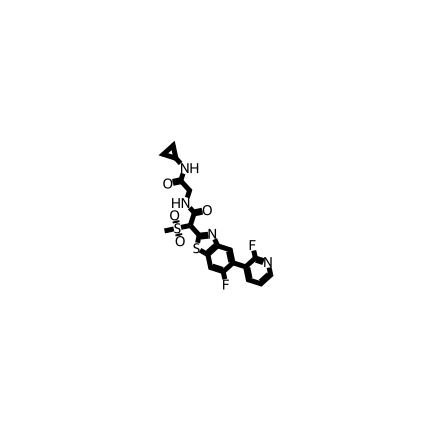 CS(=O)(=O)C(C(=O)NCC(=O)NC1CC1)c1nc2cc(-c3cccnc3F)c(F)cc2s1